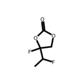 CC(F)C1(F)COC(=O)O1